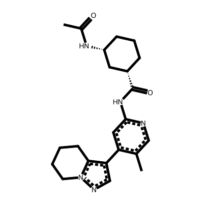 CC(=O)N[C@@H]1CCC[C@H](C(=O)Nc2cc(-c3cnn4c3CCCC4)c(C)cn2)C1